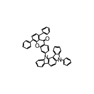 O=c1c2ccc(-n3c4ccccc4c4ccc5c(c6ccccc6n5-c5ccccc5)c43)cc2oc2c(-c3ccccc3)ccc(-c3ccccc3)c12